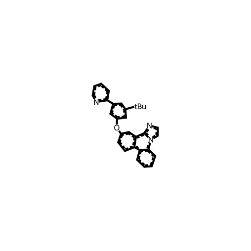 CC(C)(C)c1cc(Oc2ccc3c4ccccc4n4ccnc4c3c2)cc(-c2ccccn2)c1